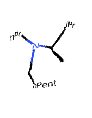 CCCCCCN(CCC)C(C)C(C)C